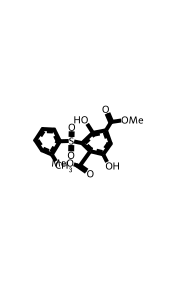 COC(=O)c1cc(O)c(C(=O)OC)c(S(=O)(=O)c2ccccc2C)c1O